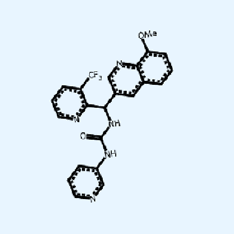 COc1cccc2cc(C(NC(=O)Nc3cccnc3)c3ncccc3C(F)(F)F)cnc12